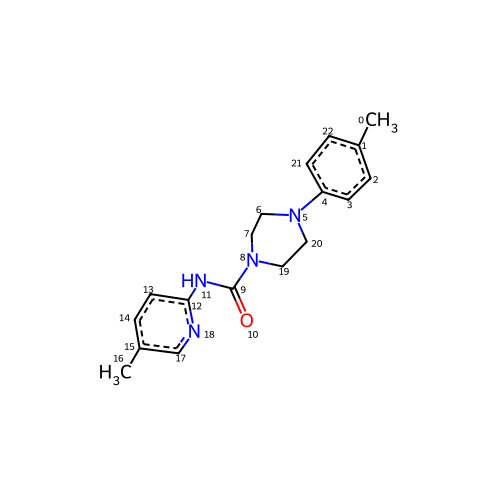 Cc1ccc(N2CCN(C(=O)Nc3ccc(C)cn3)CC2)cc1